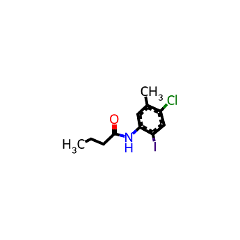 CCCC(=O)Nc1cc(C)c(Cl)cc1I